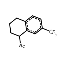 CC(=O)C1CCCc2ccc(C(F)(F)F)cc21